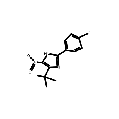 CC(C)(C)c1nc(-c2ccc(Cl)cc2)[nH]c1[N+](=O)[O-]